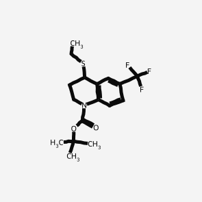 CCSC1CCN(C(=O)OC(C)(C)C)c2ccc(C(F)(F)F)cc21